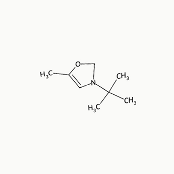 CC1=CN(C(C)(C)C)CO1